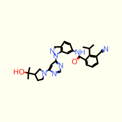 CC(C)c1c(C#N)cccc1C(=O)Nc1ccc2cnn(-c3cc(N4CCC(C(C)(C)O)C4)ncn3)c2c1